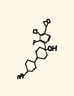 CCCC1CCC(C2CCC(O)(c3ccc(C4CO4)c(Cl)c3F)CC2)CC1